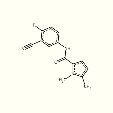 Cc1ccc(C(=O)Nc2ccc(F)c(C#N)c2)n1C